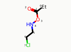 CCC(=O)ONCCCl